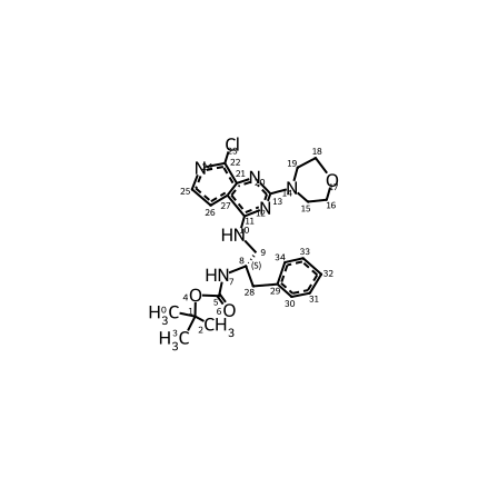 CC(C)(C)OC(=O)N[C@H](CNc1nc(N2CCOCC2)nc2c(Cl)nccc12)Cc1ccccc1